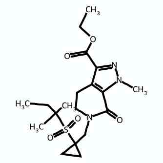 CCOC(=O)c1nn(C)c2c1CCN(CC1(S(=O)(=O)C(C)(C)CC)CC1)C2=O